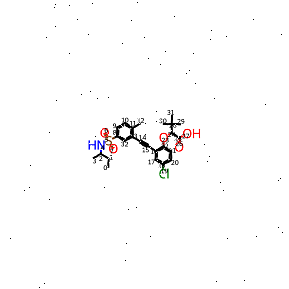 CCC(C)NS(=O)(=O)c1ccc(C)c(C#Cc2cc(Cl)ccc2OC(C(=O)O)C(C)(C)C)c1